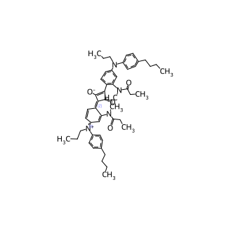 CCCCc1ccc(N(CCC)c2ccc(C3=C([O-])/C(=C4C=C/C(=[N+](\CCC)c5ccc(CCCC)cc5)C=C\4N(C)C(=O)CC)C3=O)c(N(C)C(=O)CC)c2)cc1